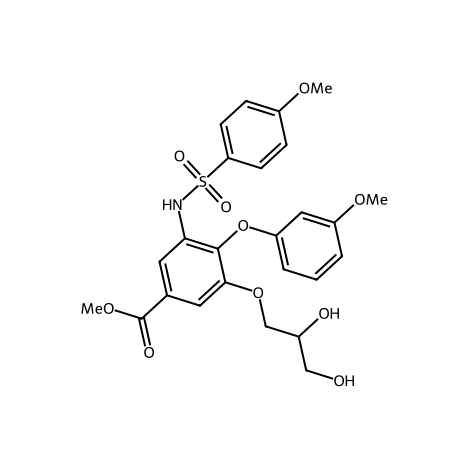 COC(=O)c1cc(NS(=O)(=O)c2ccc(OC)cc2)c(Oc2cccc(OC)c2)c(OCC(O)CO)c1